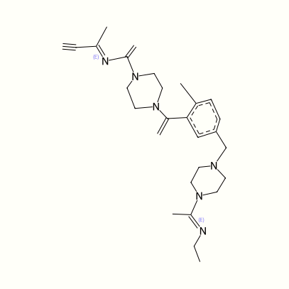 C#C/C(C)=N/C(=C)N1CCN(C(=C)c2cc(CN3CCN(/C(C)=N/CC)CC3)ccc2C)CC1